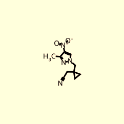 Cc1nn(CC2(CC#N)CC2)cc1[N+](=O)[O-]